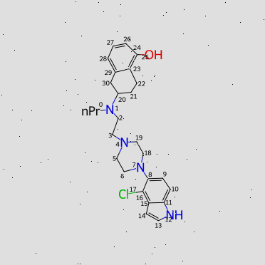 CCCN(CCN1CCN(c2ccc3[nH]ccc3c2Cl)CC1)C1CCc2c(O)cccc2C1